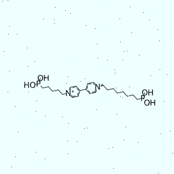 OP(O)CCCCCCCC[n+]1ccc(-c2cc[n+](CCCCCP(O)O)cc2)cc1